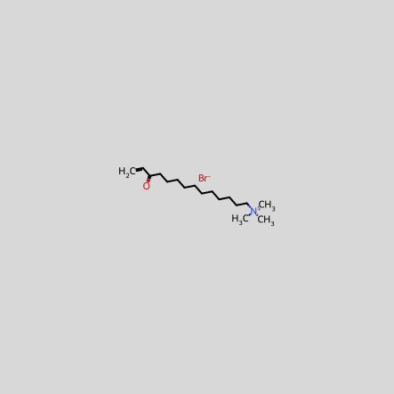 C=CC(=O)CCCCCCCCCCC[N+](C)(C)C.[Br-]